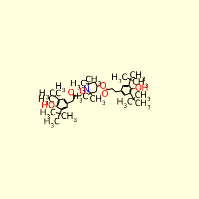 CC(C)(C)c1cc(CCC(=O)OC2CC(C)(C)N(OCC(=O)Cc3cc(C(C)(C)C)c(O)c(C(C)(C)C)c3)C(C)(C)C2)cc(C(C)(C)C)c1O